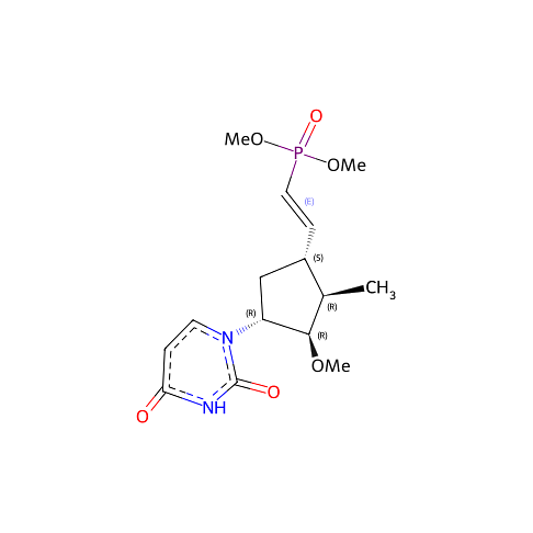 CO[C@@H]1[C@H](C)[C@@H](/C=C/P(=O)(OC)OC)C[C@H]1n1ccc(=O)[nH]c1=O